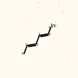 CC=CC=[CH][In]